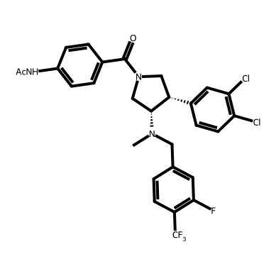 CC(=O)Nc1ccc(C(=O)N2C[C@H](c3ccc(Cl)c(Cl)c3)[C@H](N(C)Cc3ccc(C(F)(F)F)c(F)c3)C2)cc1